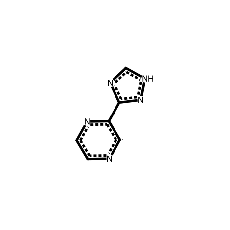 [c]1nccnc1-c1nc[nH]n1